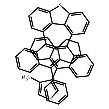 Cc1cocc1-c1c2ccccc2c(-c2cccc3sc4cccc(-c5c6c(c(-c7ccccc7)c7ccccc57)C=CCC6)c4c23)c2ccccc12